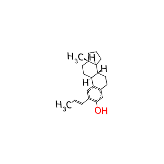 CC=Cc1cc2c(cc1O)CC[C@@H]1[C@@H]2CC[C@]2(C)CCC[C@@H]12